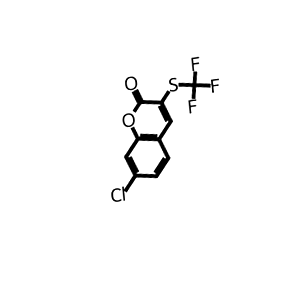 O=c1oc2cc(Cl)ccc2cc1SC(F)(F)F